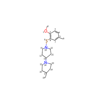 COc1ccc(C)cc1SN1CCC(N2CCC(C)CC2)CC1